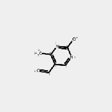 Cc1nc(Cl)ncc1C=O